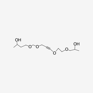 CC(O)CCOCOCC#COCCOCC(C)O